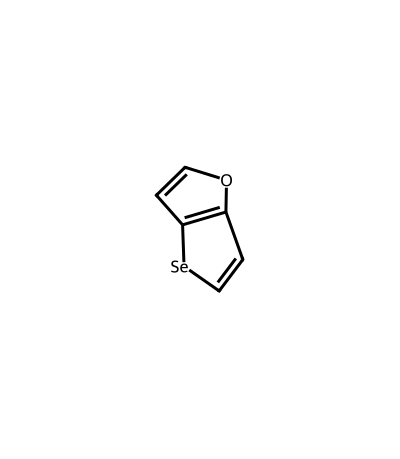 c1cc2[se]ccc2o1